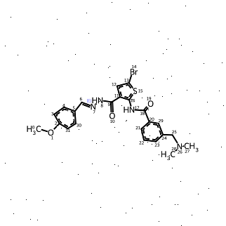 COc1ccc(/C=N/NC(=O)c2cc(Br)sc2NC(=O)c2cccc(CN(C)C)c2)cc1